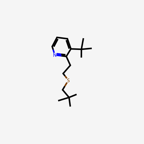 CC(C)(C)CSCCc1ncccc1C(C)(C)C